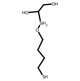 OCC(O)[SiH2]OCCCCS